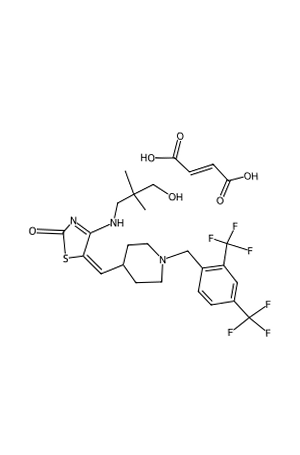 CC(C)(CO)CNC1=NC(=O)SC1=CC1CCN(Cc2ccc(C(F)(F)F)cc2C(F)(F)F)CC1.O=C(O)C=CC(=O)O